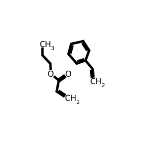 C=CC(=O)OCCC.C=Cc1ccccc1